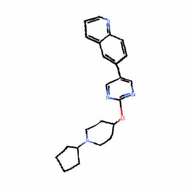 c1cnc2ccc(-c3cnc(OC4CCN(C5CCCC5)CC4)nc3)cc2c1